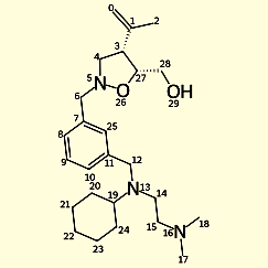 C=C(C)[C@H]1CN(Cc2cccc(CN(CCN(C)C)C3CCCCC3)c2)O[C@H]1CO